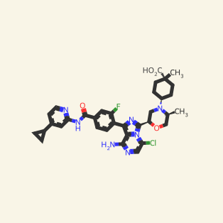 C[C@H]1CO[C@@H](c2nc(-c3ccc(C(=O)Nc4cc(C5CC5)ccn4)cc3F)c3c(N)ncc(Cl)n23)CN1[C@H]1CC[C@](C)(C(=O)O)CC1